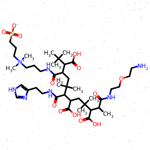 CC(C(=O)NCCOCCN)C(C(=O)O)C(C)(C)CC(C(=O)O)C(C(=O)NCCc1c[nH]cn1)C(C)(C)CC(C(=O)NCCC[N+](C)(C)CCCS(=O)(=O)[O-])C(C(=O)O)C(C)(C)C